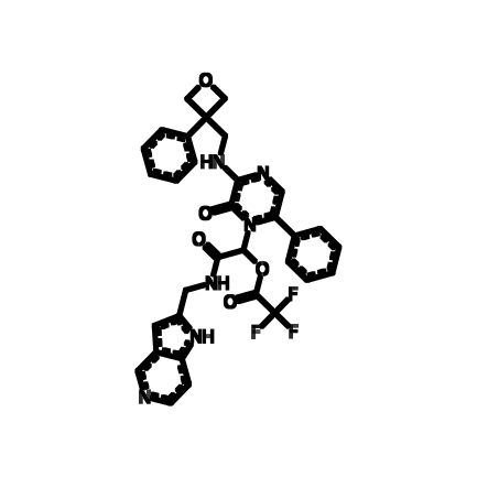 O=C(NCc1cc2cnccc2[nH]1)C(OC(=O)C(F)(F)F)n1c(-c2ccccc2)cnc(NCC2(c3ccccc3)COC2)c1=O